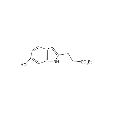 CCOC(=O)CCc1cc2ccc(O)cc2[nH]1